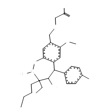 CCCCC1(CC)C(O)C(c2ccc(F)cc2)c2cc(SC)c(CSCC(=O)O)cc2SN1O